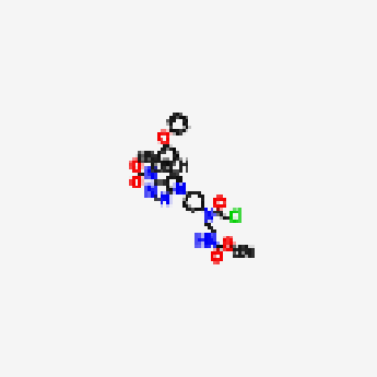 CC(C)(C)OC(=O)NCCN(C(=O)CCl)C1CCC(n2cc(-c3ccc(Oc4ccccc4)cc3)c3c(N(C(=O)O)C(=O)OC(C)(C)C)ncnc32)CC1